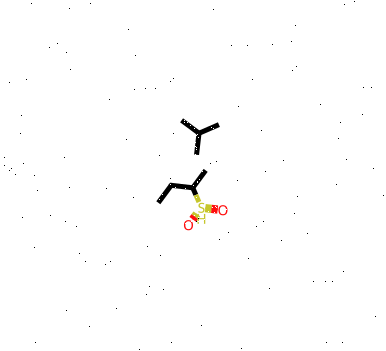 CC(C)C.CCC(C)[SH](=O)=O